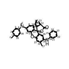 Cc1ccc(N(C)c2ccc3c(c2)Oc2cc(C)c(Nc4ccccc4)cc2C32OC(=O)c3ccccc32)cc1